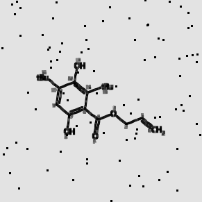 C=CCOC(=O)c1c(O)cc(C(C)(C)C)c(O)c1C(C)(C)C